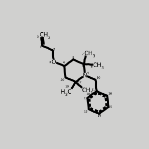 C=CCOC1CC(C)(C)N(Cc2ccccc2)C(C)(C)C1